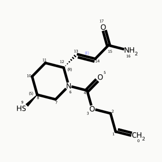 C=CCOC(=O)N1C[C@@H](S)CC[C@@H]1/C=C/C(N)=O